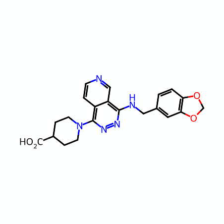 O=C(O)C1CCN(c2nnc(NCc3ccc4c(c3)OCO4)c3cnccc23)CC1